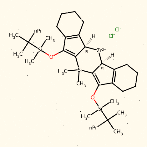 CCCC(C)(C)[Si](C)(C)OC1=C2[C@H]([Zr+2][C@H]3C4=C(CCCC4)C(O[Si](C)(C)C(C)(C)CCC)=C3[Si]2(C)C)C2=C1CCCC2.[Cl-].[Cl-]